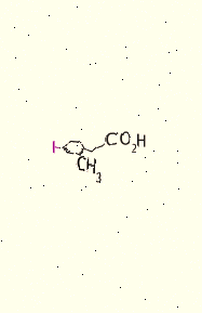 Cc1cc(I)ccc1CCCC(=O)O